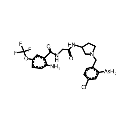 Nc1ccc(OC(F)(F)F)cc1C(=O)NCC(=O)NC1CCN(Cc2ccc(Cl)cc2[AsH2])C1